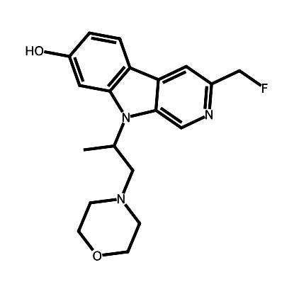 CC(CN1CCOCC1)n1c2cnc(CF)cc2c2ccc(O)cc21